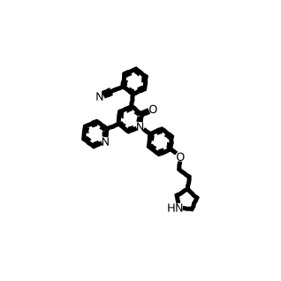 N#Cc1ccccc1-c1cc(-c2ccccn2)cn(-c2ccc(OCCC3CCNC3)cc2)c1=O